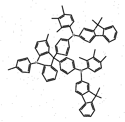 Cc1ccc(N2c3ccccc3C(c3ccc(N(c4ccc5c(c4)C(C)(C)c4ccccc4-5)c4ccc(C)c(C)c4C)cc3)(c3ccc(N(c4ccc5c(c4)C(C)(C)c4ccccc4-5)c4ccc(C)c(C)c4C)cc3)c3cc(C)ccc32)cc1